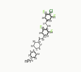 CCCc1ccc([C@H]2CC[C@H](CCc3cc(F)c(CCc4cc(F)c(Cl)c(F)c4)c(F)c3)CC2)cc1